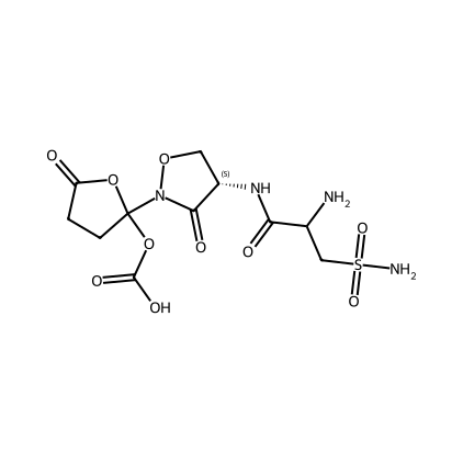 NC(CS(N)(=O)=O)C(=O)N[C@H]1CON(C2(OC(=O)O)CCC(=O)O2)C1=O